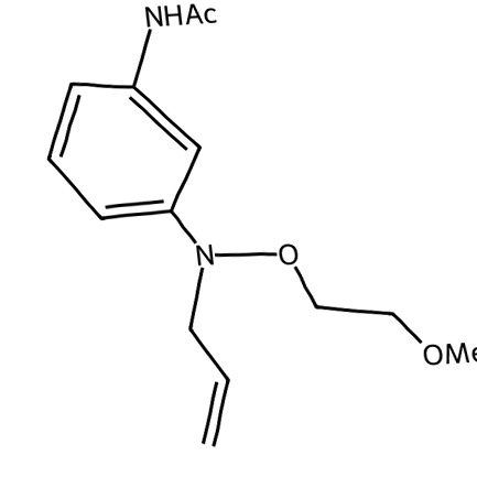 C=CCN(OCCOC)c1cccc(NC(C)=O)c1